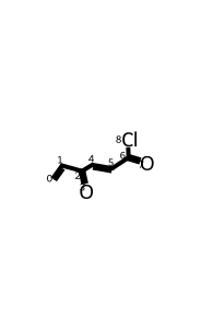 C=CC(=O)C=CC(=O)Cl